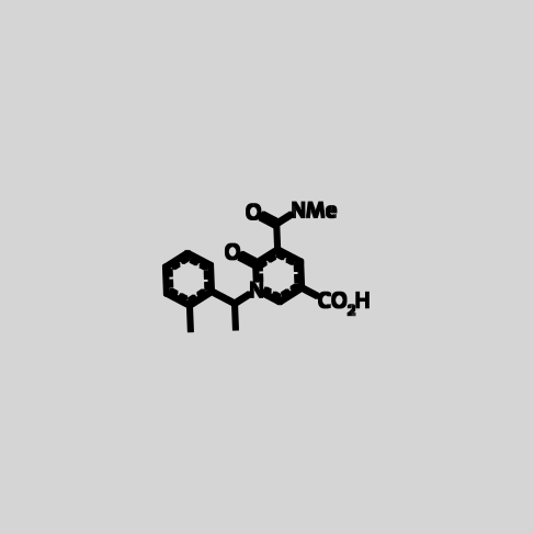 CNC(=O)c1cc(C(=O)O)cn(C(C)c2ccccc2C)c1=O